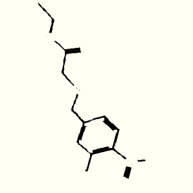 CCOC(=O)CNCc1ccc([N+](=O)[O-])c(C)c1